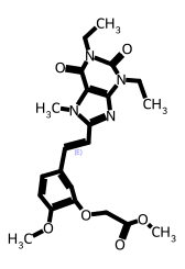 CCn1c(=O)c2c(nc(/C=C/c3ccc(OC)c(OCC(=O)OC)c3)n2C)n(CC)c1=O